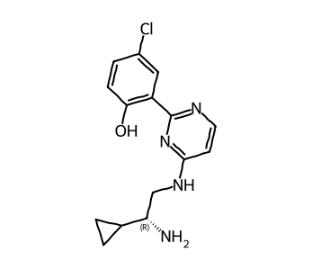 N[C@@H](CNc1ccnc(-c2cc(Cl)ccc2O)n1)C1CC1